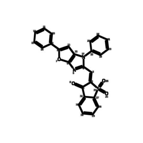 O=C1/C(=C\c2nc3oc(-c4ccccc4)cc3n2-c2ccccc2)S(=O)(=O)c2ccccc21